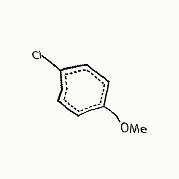 [CH2]Oc1ccc(Cl)cc1